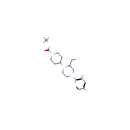 CCC1CN(c2ncc(N)cc2Cl)CCN1C1CCN(C(=O)OC(C)(C)C)CC1